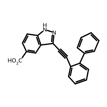 O=C(O)c1ccc2[nH]nc(C#Cc3ccccc3-c3ccccc3)c2c1